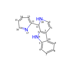 C1=Cc2c([nH]c3ccccc23)C(c2ccccn2)N1